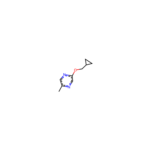 Cc1cnc(OCC2CC2)cn1